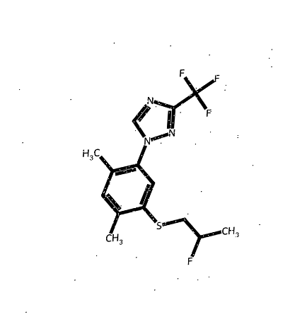 Cc1cc(C)c(-n2cnc(C(F)(F)F)n2)cc1SCC(C)F